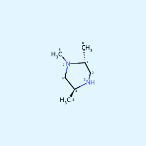 C[C@@H]1CN[C@@H](C)CN1C